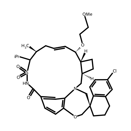 COCCO[C@H]1/C=C/C[C@H](C)C(C(C)C)S(=O)(=O)NC(=O)c2ccc3c(c2)N(C[C@@H]2CC[C@H]21)C[C@@]1(CCCc2cc(Cl)ccc21)CO3